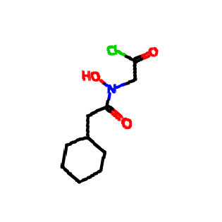 O=C(Cl)CN(O)C(=O)CC1CCCCC1